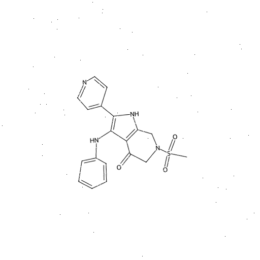 CS(=O)(=O)N1CC(=O)c2c([nH]c(-c3ccncc3)c2Nc2ccccc2)C1